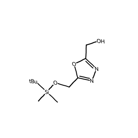 CC(C)(C)[Si](C)(C)OCc1nnc(CO)o1